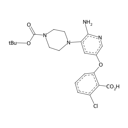 CC(C)(C)OC(=O)N1CCN(c2cc(Oc3cccc(Cl)c3C(=O)O)cnc2N)CC1